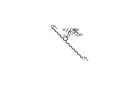 CCCCCCCCCCCCC(CCCCCCCCCC)CC(=O)OCC(C)(C)C.OCCO